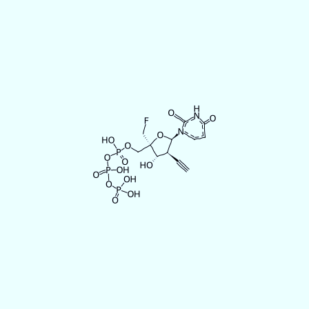 C#C[C@@H]1[C@H](n2ccc(=O)[nH]c2=O)O[C@](CF)(COP(=O)(O)OP(=O)(O)OP(=O)(O)O)[C@H]1O